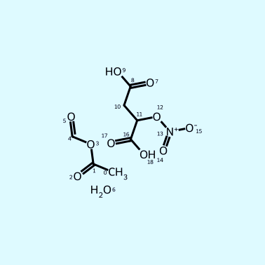 CC(=O)OC=O.O.O=C(O)CC(O[N+](=O)[O-])C(=O)O